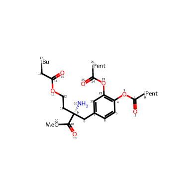 CCCC(C)C(=O)Oc1ccc(C[C@](N)(CCOC(=O)CC(C)(C)C)C(=O)OC)cc1OC(=O)C(C)CCC